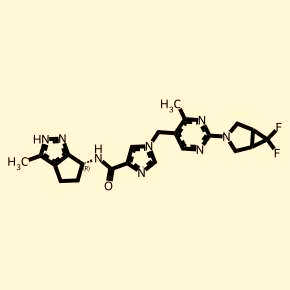 Cc1nc(N2CC3C(C2)C3(F)F)ncc1Cn1cnc(C(=O)N[C@@H]2CCc3c2n[nH]c3C)c1